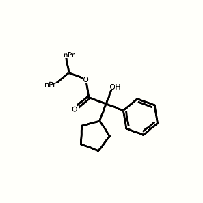 CCCC(CCC)OC(=O)C(O)(c1ccccc1)C1CCCC1